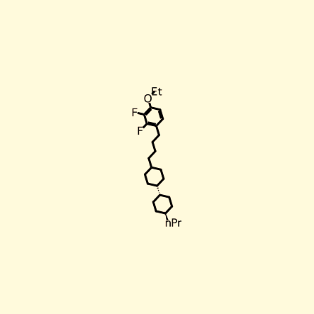 CCC[C@H]1CC[C@H](C2CCC(CCCCc3ccc(OCC)c(F)c3F)CC2)CC1